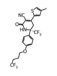 Cc1csc(C2=C(C#N)C(=O)N[C@@](c3ccc(OCCCC(F)(F)F)cc3)(C(F)(F)F)C2)c1